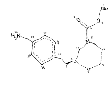 CC(C)(C)OC(=O)N1CCO[C@@H](Cc2ccc(N)cc2)C1